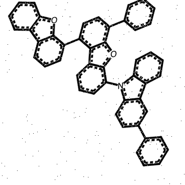 c1ccc(-c2ccc3c(c2)c2ccccc2n3-c2cccc3c2oc2c(-c4ccccc4)ccc(-c4cccc5c4oc4ccccc45)c23)cc1